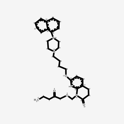 CCCC(=O)COCN1C(=O)CCc2ccc(OCCCCN3CCN(c4cccc5ccccc45)CC3)nc21